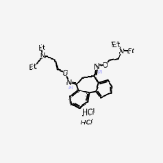 CCN(CC)CCO/N=C1/C/C(=N\OCCN(CC)CC)c2ccccc2-c2ccccc21.Cl.Cl